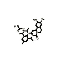 COc1cc2c(cc1OC)-c1cc(N(c3c(C(C)C)cc(C)cc3C(C)C)C(C)CNC(N)=O)nc(=O)n1CC2